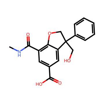 CNC(=O)c1cc(C(=O)O)cc2c1OCC2(CO)c1ccccc1